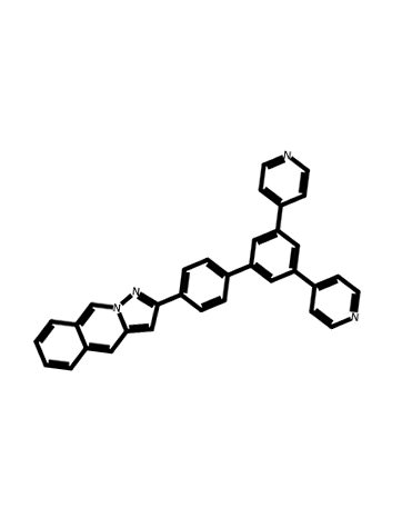 c1ccc2cn3nc(-c4ccc(-c5cc(-c6ccncc6)cc(-c6ccncc6)c5)cc4)cc3cc2c1